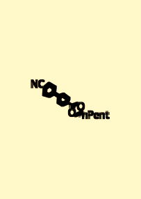 CCCCC[C@@H]1CO[C@@H](c2ccc(-c3ccc(C#N)cc3)cc2)CO1